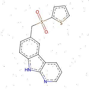 O=S(=O)(Cc1ccc2[nH]c3ncccc3c2c1)c1cccs1